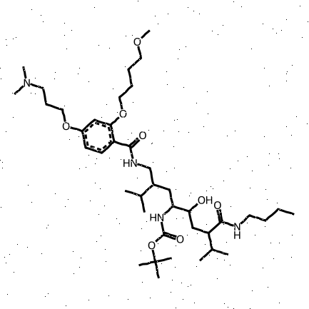 CCCCNC(=O)C(CC(O)C(CC(CNC(=O)c1ccc(OCCCN(C)C)cc1OCCCCOC)C(C)C)NC(=O)OC(C)(C)C)C(C)C